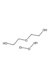 CCCOCC.OCCOCCO